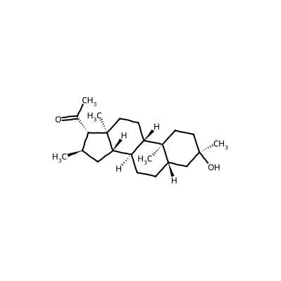 CC(=O)[C@H]1[C@H](C)C[C@H]2[C@@H]3CC[C@H]4C[C@](C)(O)CC[C@]4(C)[C@H]3CC[C@@]21C